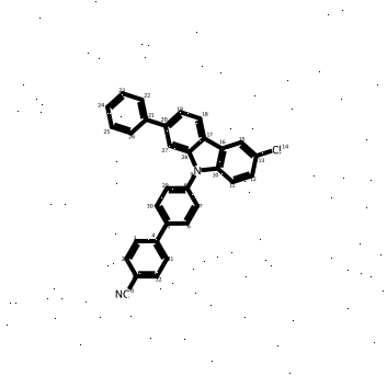 N#Cc1ccc(-c2ccc(-n3c4ccc(Cl)cc4c4ccc(-c5ccccc5)cc43)cc2)cc1